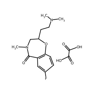 CN(C)CCC1CN(C)C(=O)c2cc(F)ccc2O1.O=C(O)C(=O)O